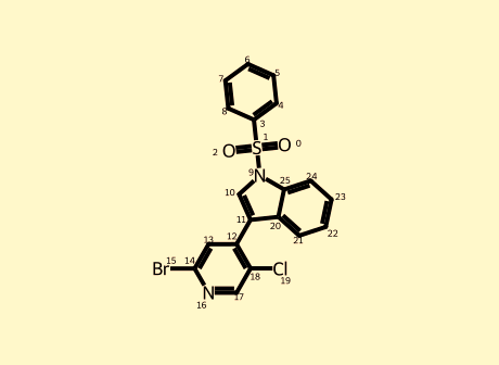 O=S(=O)(c1ccccc1)n1cc(-c2cc(Br)ncc2Cl)c2ccccc21